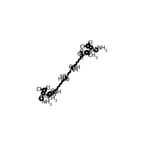 Cc1cc(N(CCCCCCCCNC(=O)NCCCCNC(=O)NCCCCCCCCNS(=O)(=O)c2ccc(O[C@H]3c4cc(Cl)cc(Cl)c4C[C@@H]3N3CCC[C@@H](N)C3)c(C)c2)[SH](=O)=O)ccc1O[C@H]1c2cc(Cl)cc(Cl)c2C[C@@H]1N1CCC[C@@H](N)C1